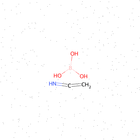 C=C=N.OB(O)O